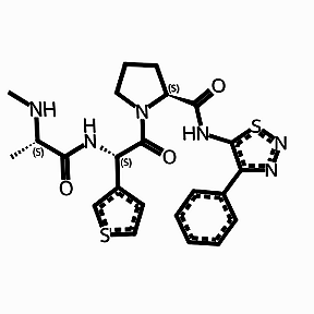 CN[C@@H](C)C(=O)N[C@H](C(=O)N1CCC[C@H]1C(=O)Nc1snnc1-c1ccccc1)c1ccsc1